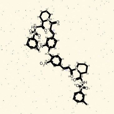 Cc1cccc(S(=O)(=O)NC(=O)C2CCCCN2C(=O)/C=C/c2ccc(Sc3ccc(/C=C/C(=O)N4CCCCC4C(=O)NS(=O)(=O)c4cccc(C)c4)cc3[N+](=O)[O-])c([N+](=O)[O-])c2)c1